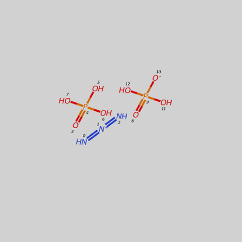 N=[N+]=N.O=P(O)(O)O.O=P([O-])(O)O